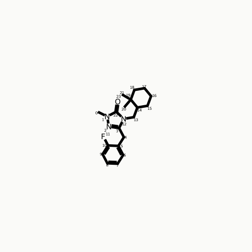 Cn1nc(Cc2ccccc2F)n(CC2CCCCC2(C)C)c1=O